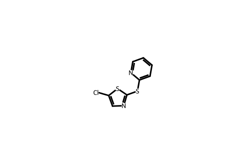 Clc1cnc(Sc2ccccn2)s1